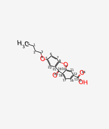 CCCCOc1ccc2oc3cc(C(=O)O)ccc3c(=O)c2c1